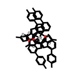 Cc1ccc(-c2cccc3c2C=C(c2ccc(C)o2)[C]32[SiH](C)[C]3(C(c4ccc(C)o4)=Cc4c(-c5ccc(C)cc5)cccc43)[Hf]23([Cl])([Cl])[C]2(C(c4ccc(C)o4)=Cc4c(-c5ccc(C)cc5)cccc42)[SiH](C)[C]32C(c3ccc(C)o3)=Cc3c(-c4ccc(C)cc4)cccc32)cc1